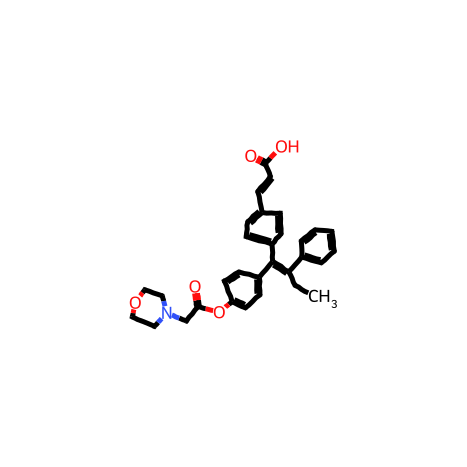 CCC(=C(c1ccc(C=CC(=O)O)cc1)c1ccc(OC(=O)CN2CCOCC2)cc1)c1ccccc1